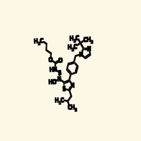 CCCCOC(=O)NSN(O)c1sc(CC(C)C)nc1-c1ccc(Cn2ccnc2C(C)(C)C)cc1